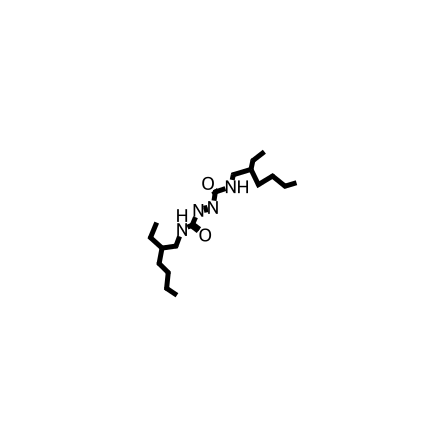 CCCCC(CC)CNC(=O)N=NC(=O)NCC(CC)CCCC